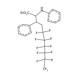 CCOC(=O)C(Nc1ccccc1)C(CC(F)(F)C(F)(F)C(F)(F)C(F)(F)C(F)(F)C(F)(F)F)c1ccccc1